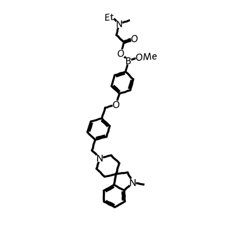 CCN(C)CC(=O)OB(OC)c1ccc(OCc2ccc(CN3CCC4(CC3)CN(C)c3ccccc34)cc2)cc1